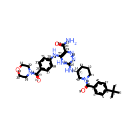 CC(C)(C)c1ccc(C(=O)N2CCC[C@@H](NC3N=NC(C(N)=O)=C(Nc4ccc(C(=O)N5CCOCC5)cc4)N3)C2)cc1